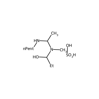 CCCCCNC(C)N(C)C(O)CC.O=S(=O)(O)O